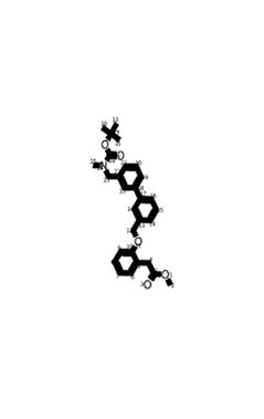 COC(=O)Cc1ccccc1OCc1cccc(-c2cccc(CN(C)C(=O)OC(C)(C)C)c2)c1